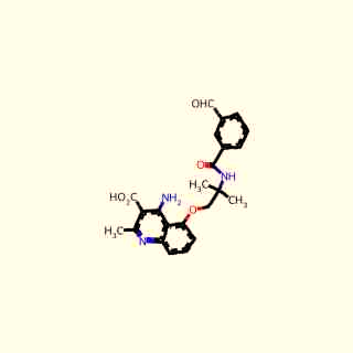 Cc1nc2cccc(OCC(C)(C)NC(=O)c3cccc(C=O)c3)c2c(N)c1C(=O)O